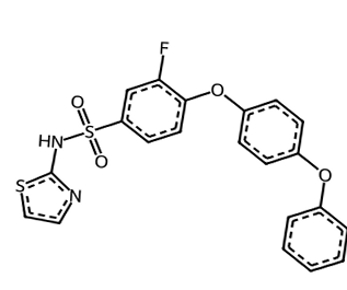 O=S(=O)(Nc1nccs1)c1ccc(Oc2ccc(Oc3ccccc3)cc2)c(F)c1